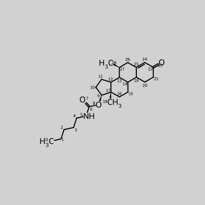 CCCCCNC(=O)O[C@H]1CCC2C3C(CC[C@@]21C)C1CCC(=O)C=C1C[C@@H]3C